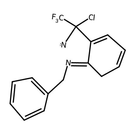 [N]C(Cl)(C1=CC=CCC1=NCc1ccccc1)C(F)(F)F